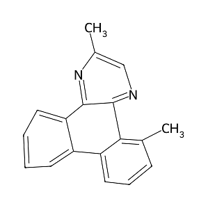 Cc1cnc2c(n1)c1ccccc1c1cccc(C)c12